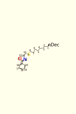 CCCCCCCCCCCCCCCCCCSCC1COC(c2ccccc2)=N1